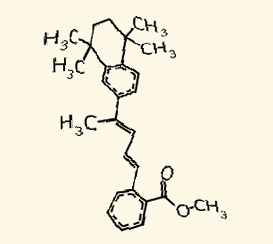 COC(=O)c1ccccc1/C=C/C=C(\C)c1ccc2c(c1)C(C)(C)CCC2(C)C